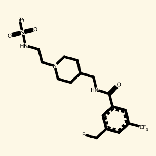 CC(C)S(=O)(=O)NCCN1CCC(CNC(=O)c2cc(CF)cc(C(F)(F)F)c2)CC1